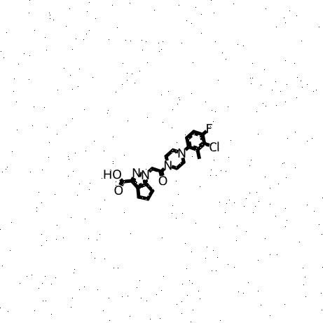 Cc1c(N2CCN(C(=O)Cn3nc(C(=O)O)c4c3CCC4)CC2)ccc(F)c1Cl